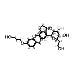 OCCCOc1ccc(Cc2cc([C@@H]3O[C@H](CCO)[C@@H](O)[C@@H](O)[C@H]3O)c3c(c2Cl)OCC3)cc1